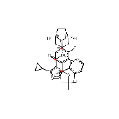 CC(C)(C)OC(=O)c1ccc(N2[C@@H]3CC[C@H]2C[C@H](OC(=O)c2c(-c4c(Cl)cccc4Cl)noc2C2CC2)C3)c(F)c1